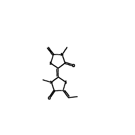 C=c1s/c(=c2/s/c(=C\C)c(=O)n2C)c(=O)n1C